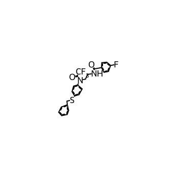 O=C(NCCN(C(=O)C(F)(F)F)c1ccc(SCc2ccccc2)cc1)c1ccc(F)cc1